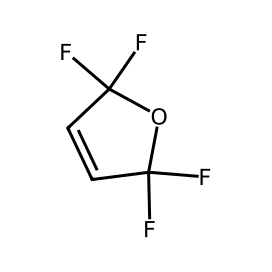 FC1(F)C=CC(F)(F)O1